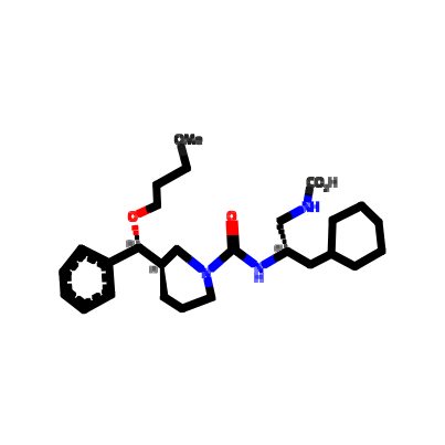 COCCCO[C@@H](c1ccccc1)[C@@H]1CCCN(C(=O)N[C@H](CNC(=O)O)CC2CCCCC2)C1